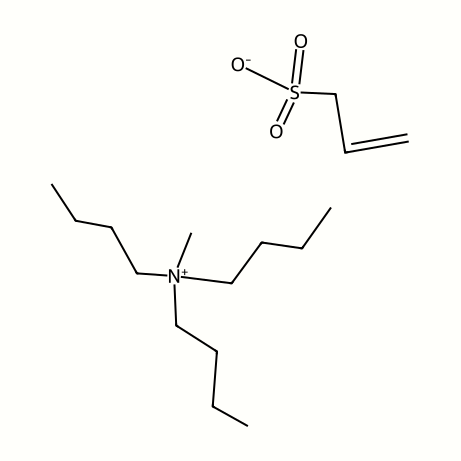 C=CCS(=O)(=O)[O-].CCCC[N+](C)(CCCC)CCCC